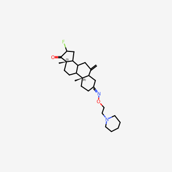 C=C1CC2C(CC[C@]3(C)C(=O)C(F)CC23)[C@@]2(C)CCC(=NOCCN3CCCCC3)CC12